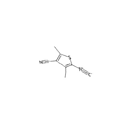 [C-]#[N+]c1sc(C)c(C#N)c1C